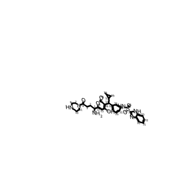 NC(CCC(=O)N1CCNCC1)c1cc(O)c(C(c2cccc(NS(=O)(=O)c3nc4ccccc4[nH]3)c2)C2CC2)c(=O)o1